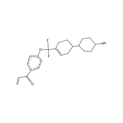 C=CC(=O)c1ccc(OC(F)(F)C2=CCC(C3CCC(CCC)CC3)CC2)cc1